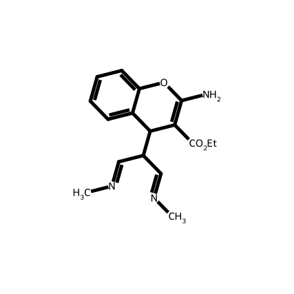 CCOC(=O)C1=C(N)Oc2ccccc2C1C(/C=N/C)/C=N/C